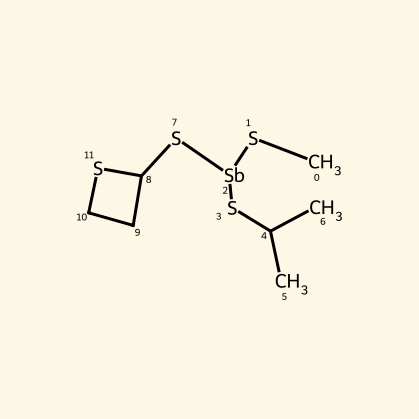 C[S][Sb]([S]C(C)C)[S]C1CCS1